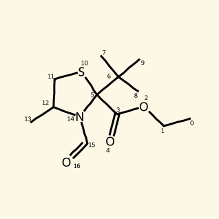 CCOC(=O)C1(C(C)(C)C)SCC(C)N1C=O